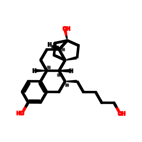 C[C@]12CC[C@@H]3c4ccc(O)cc4C[C@@H](CCCCCO)[C@H]3[C@]13CC[C@]2(O)CC3